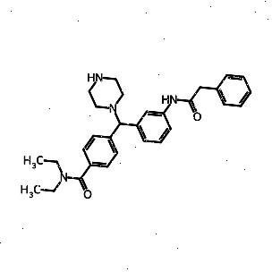 CCN(CC)C(=O)c1ccc(C(c2cccc(NC(=O)Cc3ccccc3)c2)N2CCNCC2)cc1